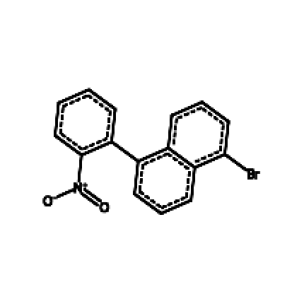 O=[N+]([O-])c1ccccc1-c1cccc2c(Br)cccc12